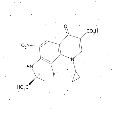 C[C@H](Nc1c([N+](=O)[O-])cc2c(=O)c(C(=O)O)cn(C3CC3)c2c1F)C(=O)O